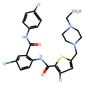 O=C(O)CN1CCN(Cc2cc(Cl)c(C(=O)Nc3ccc(Cl)cc3C(=O)Nc3ccc(Cl)cc3)s2)CC1